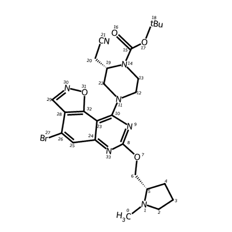 CN1CCC[C@H]1COc1nc(N2CCN(C(=O)OC(C)(C)C)[C@@H](CC#N)C2)c2c(cc(Br)c3cnoc32)n1